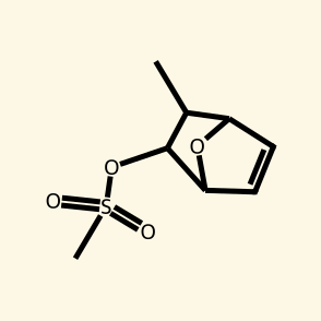 CC1C2C=CC(O2)C1OS(C)(=O)=O